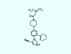 CN(C)CC(=O)N1CCC(c2ccc(N3CNC=C3C#N)c(C3=CCCCC3)c2)CC1